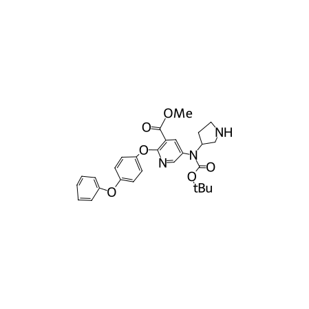 COC(=O)c1cc(N(C(=O)OC(C)(C)C)C2CCNC2)cnc1Oc1ccc(Oc2ccccc2)cc1